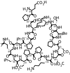 CC[C@H](C)[C@H](NC(=O)[C@@H]1CCCN1C(=O)[C@H](CC(=O)O)NC(=O)[C@H](CC(=O)O)NC(=O)[C@H](CCCCN)NC(=O)[C@@H]1CCCN1C(=O)[C@@H]1CCCN1C(=O)[C@H](CC(=O)O)NC(=O)[C@H](CC(C)C)NC(=O)[C@H](CCC(N)=O)NC(=O)[C@@H](NC(=O)[C@@H]1CCCN1C(=O)[C@H](C)NC(=O)[C@H](CCCCN)NC(=O)[C@@H]1CCCN1C(=O)[C@@H](N)CCC(=O)O)C(C)C)C(=O)N[C@@H](CO)C(=O)N[C@@H](CC(C)C)C(=O)O